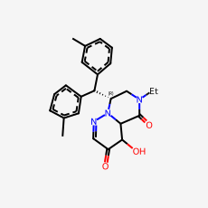 CCN1C[C@@H](C(c2cccc(C)c2)c2cccc(C)c2)N2N=CC(=O)C(O)C2C1=O